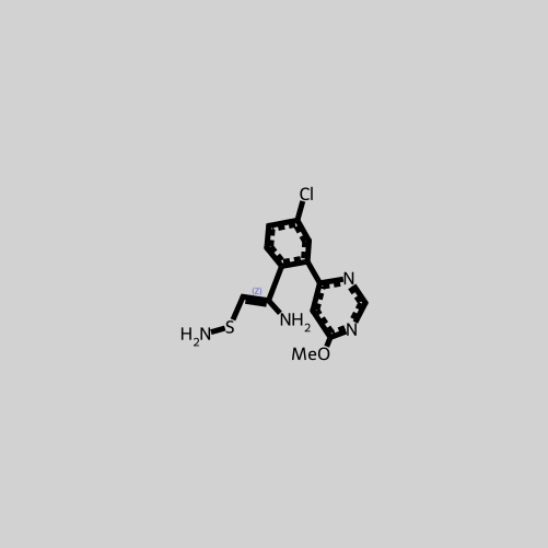 COc1cc(-c2cc(Cl)ccc2/C(N)=C/SN)ncn1